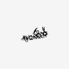 CC#CCn1c(N2CCN(C(=O)OC(C)(C)C)CC2)nc2nc(Cl)n(Cc3ccccc3C#N)c(=O)c21